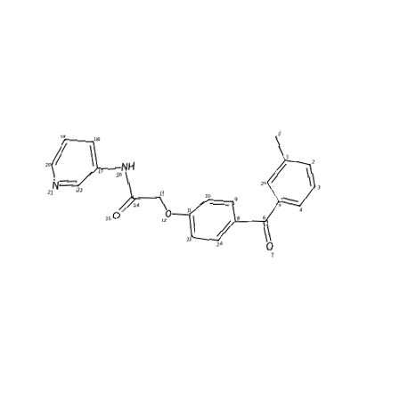 Cc1cccc(C(=O)c2ccc(OCC(=O)Nc3cccnc3)cc2)c1